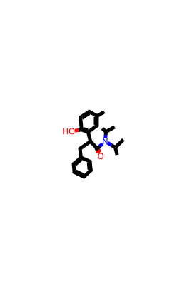 Cc1ccc(O)c(C(Cc2ccccc2)C(=O)N(C(C)C)C(C)C)c1